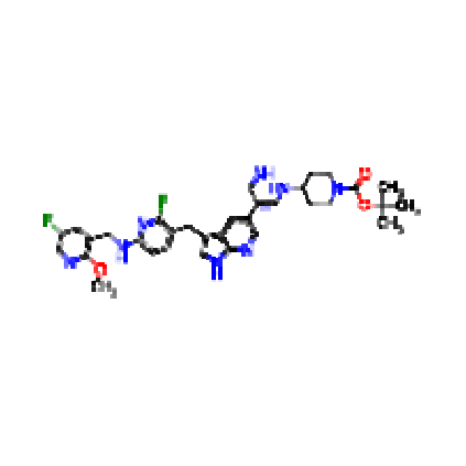 COc1ncc(F)cc1CNc1ccc(Cc2c[nH]c3ncc(/C(C=N)=C/NC4CCN(C(=O)OC(C)(C)C)CC4)cc23)c(F)n1